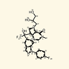 Cn1cnc2c(C(O)(c3ccc4c(cnn4-c4ccc(F)cc4)c3)C(F)(F)F)cn(CC(O)CO)c2c1=O